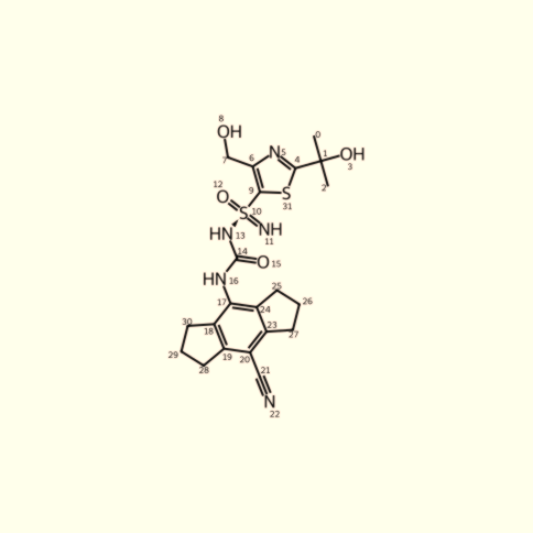 CC(C)(O)c1nc(CO)c([S@](=N)(=O)NC(=O)Nc2c3c(c(C#N)c4c2CCC4)CCC3)s1